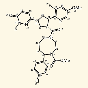 COC(=O)N1CCN(C(=O)[C@@H]2CN(c3ccc(=O)n(C)n3)C[C@H]2c2ccc(OC)cc2F)CCC[C@H]1c1ccc(Cl)cc1